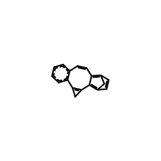 C1=CC2=C3C(=C1C2)/C=C\c1ccccc1C1=C3C1